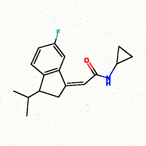 CC(C)C1C/C(=C/C(=O)NC2CC2)c2cc(F)ccc21